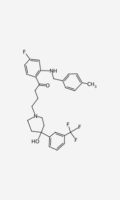 Cc1ccc(CNc2cc(F)ccc2C(=O)CCCN2CCC(O)(c3cccc(C(F)(F)F)c3)CC2)cc1